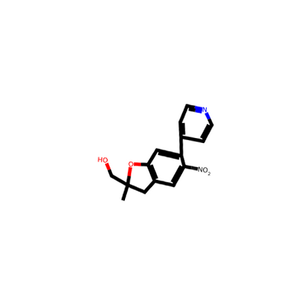 CC1(CO)Cc2cc([N+](=O)[O-])c(-c3ccncc3)cc2O1